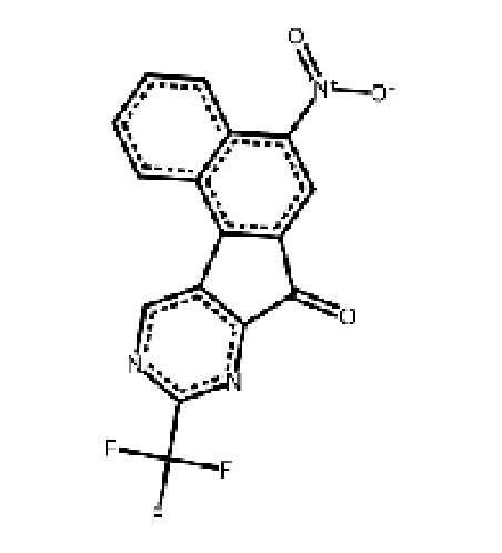 O=C1c2cc([N+](=O)[O-])c3ccccc3c2-c2cnc(C(F)(F)F)nc21